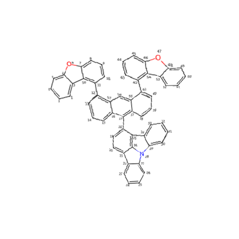 c1ccc2c(c1)oc1cccc(-c3cccc4c(-c5ccc6c7ccccc7n7c8ccccc8c5c67)c5cccc(-c6cccc7oc8ccccc8c67)c5cc34)c12